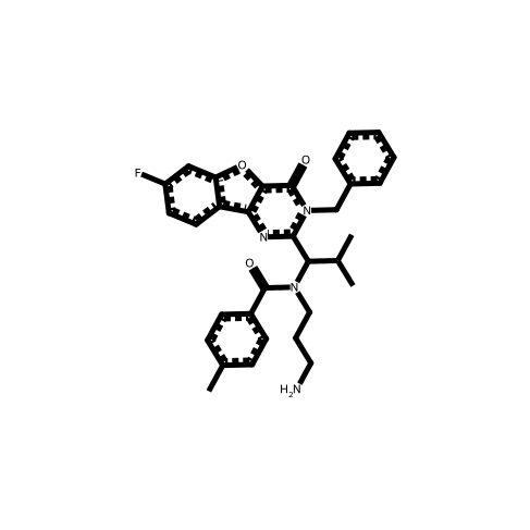 Cc1ccc(C(=O)N(CCCN)C(c2nc3c(oc4cc(F)ccc43)c(=O)n2Cc2ccccc2)C(C)C)cc1